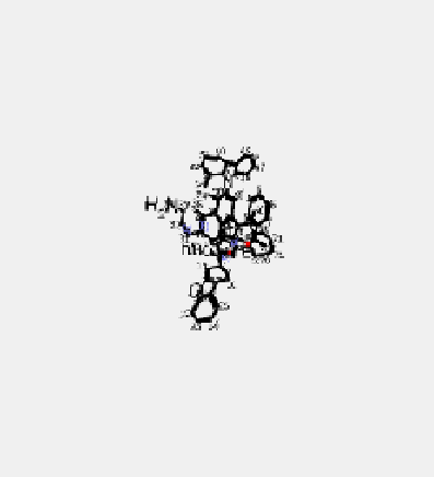 C=C(c1ccccc1)C(/C=C(\N=C(/CCCC)c1ccc2c(c1)oc1ccccc12)C(CC)CC(/C=C\CN)=C(/C)c1c(C)c(-n2c3c(c4ccccc42)C=CCC3C)cc2c1-c1ccccc1C2C(C)C1=CC=CC=CC1)CC